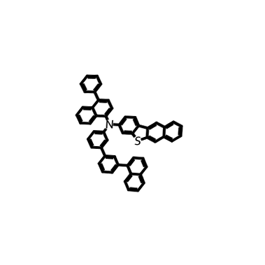 c1ccc(-c2ccc(N(c3cccc(-c4cccc(-c5cccc6ccccc56)c4)c3)c3ccc4c(c3)sc3cc5ccccc5cc34)c3ccccc23)cc1